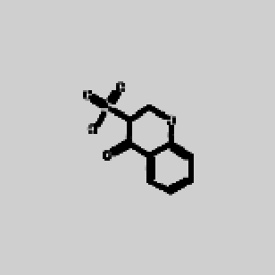 O=C1c2ccccc2OCC1S(=O)(=O)Cl